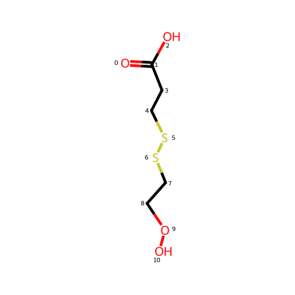 O=C(O)CCSSCCOO